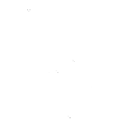 CCC(=O)N1C(SCc2ccc(OC)cc2)=NC(C)=C(C(=O)O)C1c1cccc([N+](=O)[O-])c1